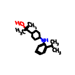 CC(C)c1ccccc1NC1CCC(C(C)(C)O)CC1